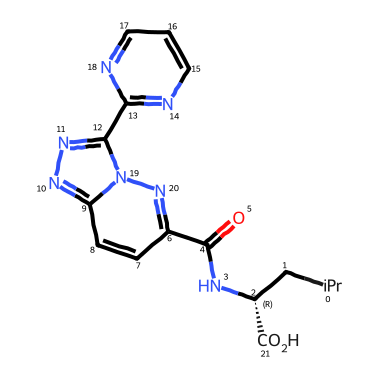 CC(C)C[C@@H](NC(=O)c1ccc2nnc(-c3ncccn3)n2n1)C(=O)O